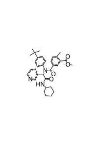 COC(=O)c1cc(C(=O)N(c2ccc(C(C)(C)C)cc2)C(C(=O)NC2CCCCC2)c2cccnc2)ccc1C